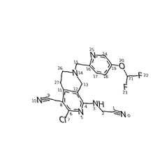 N#CCNc1nc(Cl)c(C#N)c2c1CN(Cc1ccc(OC(F)F)cn1)CC2